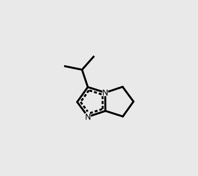 CC(C)c1cnc2n1CCC2